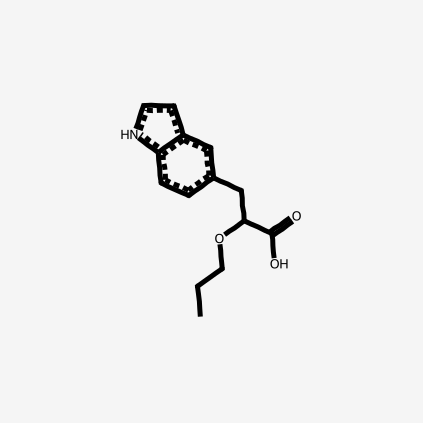 CCCOC(Cc1ccc2[nH]ccc2c1)C(=O)O